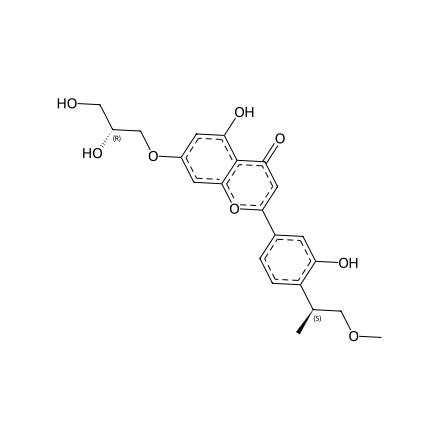 COC[C@@H](C)c1ccc(-c2cc(=O)c3c(O)cc(OC[C@H](O)CO)cc3o2)cc1O